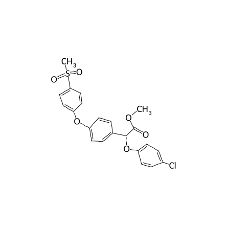 COC(=O)C(Oc1ccc(Cl)cc1)c1ccc(Oc2ccc(S(C)(=O)=O)cc2)cc1